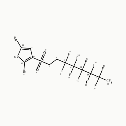 O=S(=O)(CCC(F)(F)C(F)(F)C(F)(F)C(F)(F)C(F)(F)C(F)(F)F)c1cc(Br)sc1Br